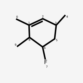 CC1=CC(C)CC(F)C1C